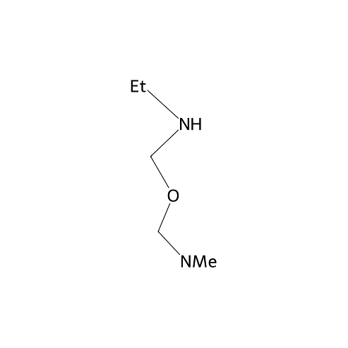 CCNCOCNC